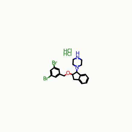 Brc1cc(Br)cc(COC2Cc3ccccc3C2N2CCNCC2)c1.Cl.Cl